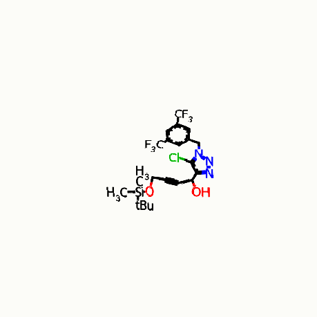 CC(C)(C)[Si](C)(C)OCC#CC(O)c1nnn(Cc2cc(C(F)(F)F)cc(C(F)(F)F)c2)c1Cl